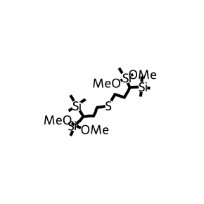 CO[Si](C)(OC)C(CCSCCC([Si](C)(C)C)[Si](C)(OC)OC)[Si](C)(C)C